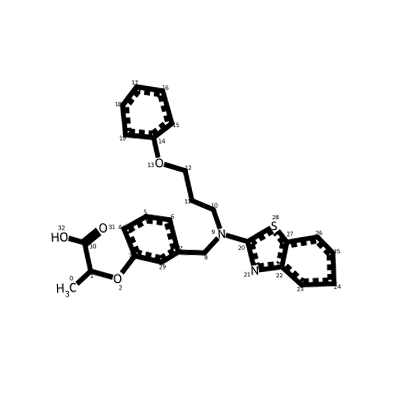 CC(Oc1cccc(CN(CCCOc2ccccc2)c2nc3ccccc3s2)c1)C(=O)O